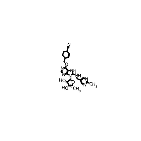 Cc1ncc(CNC2Nc3c(OCC4C=CC(C#N)CC4)ncnc3N2[C@@H]2O[C@H](C)[C@@H](O)[C@H]2O)cn1